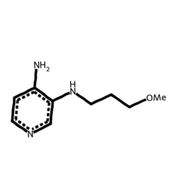 COCCCNc1cnccc1N